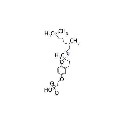 CC(C)CCCC(C)C/C=C/C1(C)CCc2cc(OCCS(=O)(=O)O)ccc2O1